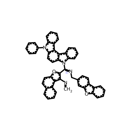 C=Nc1c(/C(=N\Cc2ccc3c(c2)oc2ccccc23)n2c3ccccc3c3c4c5ccccc5n(-c5ccccc5)c4ccc32)oc2ccc3ccccc3c12